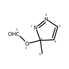 CC1(OC=O)C=CN=N1